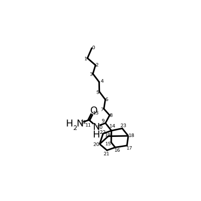 CCCCCCCCCC(NC(N)=O)C12CC3CC(CC(C3)C1)C2